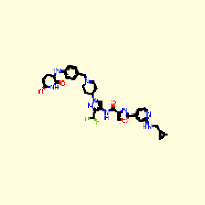 O=C1CCC(Nc2ccc(CN3CCC(n4cc(NC(=O)c5coc(-c6ccnc(NCC7CC7)c6)n5)c(C(F)F)n4)CC3)cc2)C(=O)N1